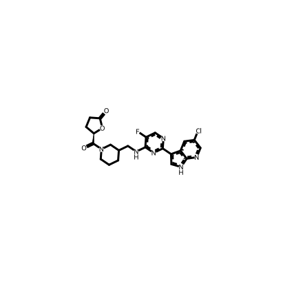 O=C1CC[C@H](C(=O)N2CCCC(CNc3nc(-c4c[nH]c5ncc(Cl)cc45)ncc3F)C2)O1